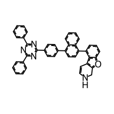 C1=Cc2c(oc3cccc(-c4ccc(-c5ccc(-c6nc(-c7ccccc7)nc(-c7ccccc7)n6)cc5)c5ccccc45)c23)CN1